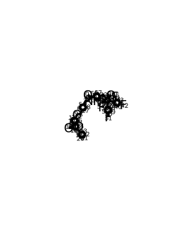 O=C(NCc1ccc(COc2ccc3c(=O)cc(-c4ccccc4)oc3c2)cc1)c1ccc(CN2C(=O)C(c3ccc(F)cc3F)=C(c3ccc(F)cc3F)C2=O)cc1